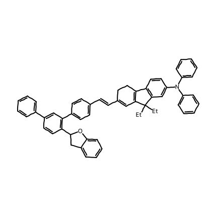 CCC1(CC)C2=C(CCC(/C=C/c3ccc(-c4cc(-c5ccccc5)ccc4C4Cc5ccccc5O4)cc3)=C2)c2ccc(N(c3ccccc3)c3ccccc3)cc21